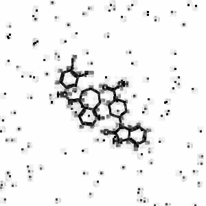 O=C(O)N1CCC(n2c(=O)[nH]c3ncccc32)CC1[C@H]1CC[C@@H](c2cccc(F)c2F)/C(=N\O)c2cccnc21